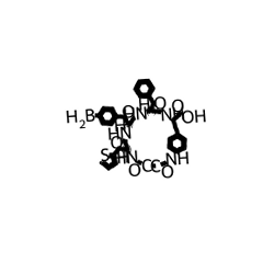 Bc1ccc(C[C@@H]2NC(=O)[C@@H](Cc3cccs3)NC(=O)CCC(=O)Nc3ccc(cc3)C(C(=O)O)NC(=O)[C@@H](Cc3ccccc3)NC2=O)cc1